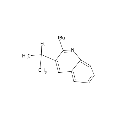 CCC(C)(C)c1cc2ccccc2nc1C(C)(C)C